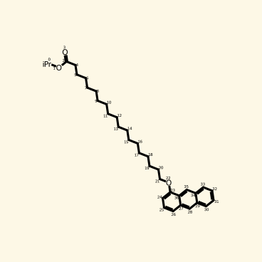 CC(C)OC(=O)CCCCCCCCCCCCCCCCCCOc1cccc2cc3ccccc3cc12